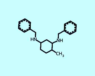 CC1CCC(NCc2ccccc2)CC1NCc1ccccc1